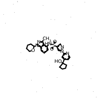 Cc1nn(C2CCCCO2)c2cccc(NS(=O)(=O)c3cnn(-c4cc(C5(O)CCCC5)ccn4)c3)c12